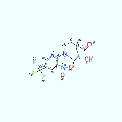 CC1(C(=O)O)CCN(c2ncc(C(F)(F)F)cc2[N+](=O)[O-])CC1